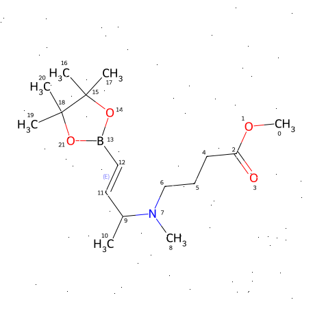 COC(=O)CCCN(C)C(C)/C=C/B1OC(C)(C)C(C)(C)O1